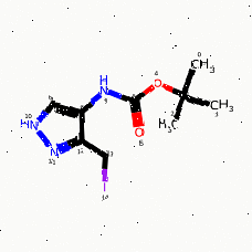 CC(C)(C)OC(=O)Nc1c[nH]nc1CI